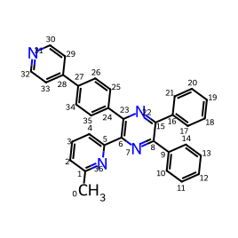 Cc1cccc(-c2nc(-c3ccccc3)c(-c3ccccc3)nc2-c2ccc(-c3ccncc3)cc2)n1